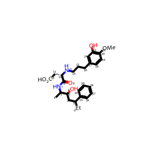 CCC(CC(O)C(C)NC(=O)[C@H](CC(=O)O)NCCCc1ccc(OC)c(O)c1)c1ccccc1